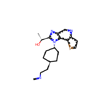 C=NCC[C@H]1CC[C@H](n2c([C@@H](C)O)nc3cnc4ccsc4c32)CC1